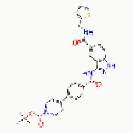 CC(C)(C)OC(=O)N1CC=C(c2ccc(C(=O)Nc3n[nH]c4ccc(C(=O)NCc5cccs5)cc34)cc2)CC1